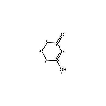 O=C1[C]=C(O)CCC1